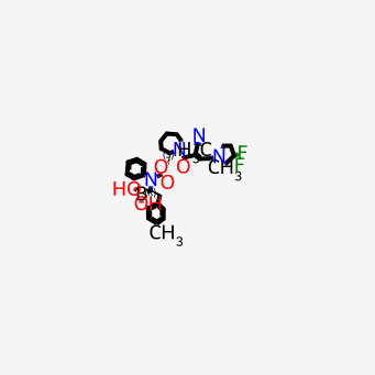 Cc1ccc(C[C@@H](B(O)O)N(C(=O)OC[C@@H]2CCCCCN2C(=O)C(C#N)=CC(C)(C)N2CCC(F)(F)C2)c2ccccc2)cc1